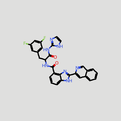 O=C(NC(Cc1cc(F)cc(F)c1)C(=O)Nc1ncc[nH]1)c1cccc2[nH]c(-c3cc4ccccc4cn3)nc12